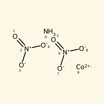 N.O=[N+]([O-])[O-].O=[N+]([O-])[O-].[Co+2]